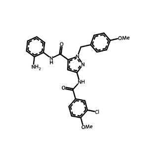 COc1ccc(Cn2nc(NC(=O)c3ccc(OC)c(Cl)c3)cc2C(=O)Nc2ccccc2N)cc1